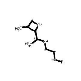 CC1COC1C(C)NCCSF